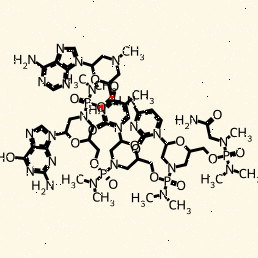 Cc1cn(C2CN(P(=O)(OCC3CN(P(=O)(OCC4CN(C)CC(n5cnc6c(N)ncnc65)O4)N(C)C)CC(n4cnc5c(O)nc(N)nc54)O3)N(C)C)CC(COP(=O)(N(C)C)N3CC(COP(=O)(N(C)C)N(C)CC(N)=O)OC(n4ccc(N)nc4=O)C3)O2)c(=O)[nH]c1=O